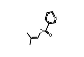 CC(C)=COC(=O)c1cccnc1